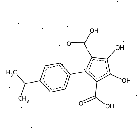 CC(C)c1ccc(-n2c(C(=O)O)c(O)c(O)c2C(=O)O)cc1